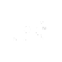 O=C1C=C2c3cccc(C(=O)CBr)c3CCN2C(=O)CN1